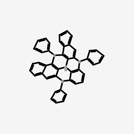 c1ccc(N2c3cccc4c3[SiH]3c5c2cc2ccccc2c5N(c2ccccc2)c2c3c(cc3ccccc23)N4c2ccccc2)cc1